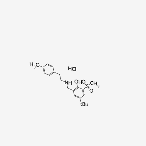 Cc1ccc(CCNCc2cc(C(C)(C)C)cc(S(C)(=O)=O)c2O)cc1.Cl